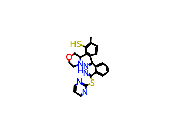 Cc1ccc(-c2nnc(Sc3ncccn3)c3ccccc23)c(C2COCCN2)c1S